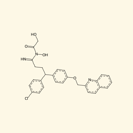 N=C(CCC(c1ccc(Cl)cc1)c1ccc(OCc2ccc3ccccc3n2)cc1)N(O)C(=O)CO